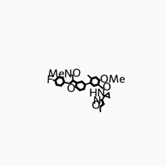 CNC(=O)c1c(-c2ccc(F)cc2)oc2ccc(-c3cc(C(=O)NC4(c5cc(C)on5)CC4)c(OC)cc3C)cc12